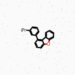 CC(C)c1cccc(-c2cccc3oc4ccccc4c23)c1